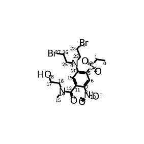 CCS(=O)(=O)c1cc([N+](=O)[O-])c(C(=O)N(C)CCO)cc1N(CCBr)CCBr